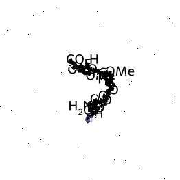 C/C=C\CC1CC(=O)N([C@@H](CN)C(=O)NC[C@H](C)OC(=O)CCC(=O)c2cc3c(F)c(OCCCOc4c(OC)cc5c(c4F)CN(C(=O)CCC(=O)O)C5)c(OC)cc3s2)C1=O